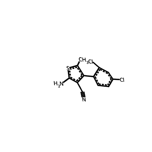 Cc1sc(N)c(C#N)c1-c1ccc(Cl)cc1Cl